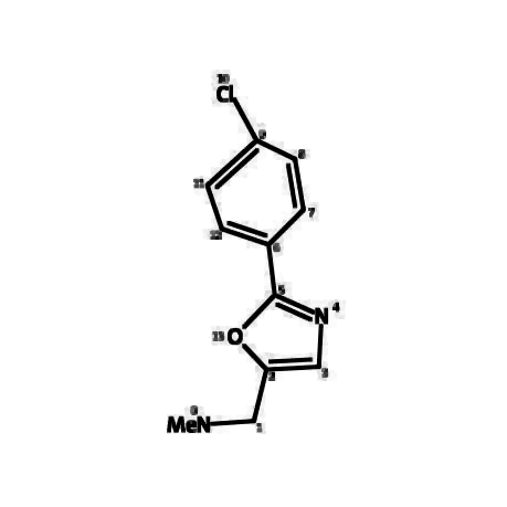 CNCc1cnc(-c2ccc(Cl)cc2)o1